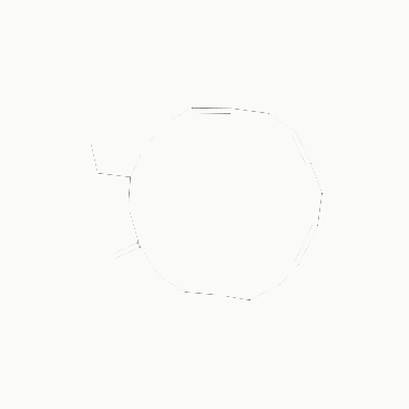 CCC1CC/C=C\C/C=C\C/C=C\CCCCCC(=O)O1